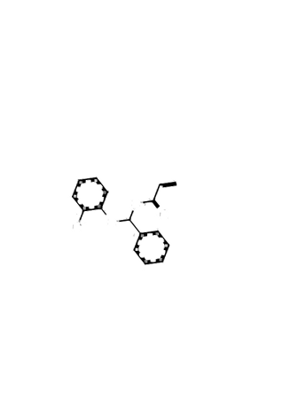 C=CC(=O)OC(Oc1ccccc1O)c1ccccc1